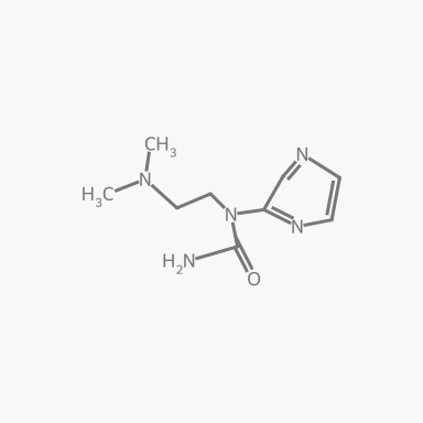 CN(C)CCN(C(N)=O)c1cnccn1